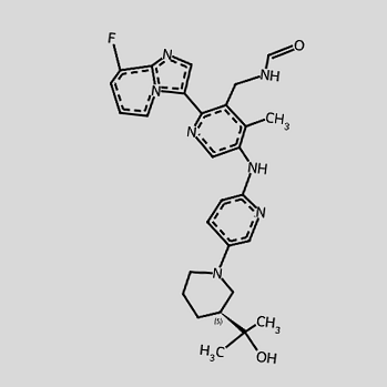 Cc1c(Nc2ccc(N3CCC[C@H](C(C)(C)O)C3)cn2)cnc(-c2cnc3c(F)cccn23)c1CNC=O